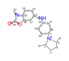 CC1CCC(C)N1c1ccc(Nc2ccc3c(c2)oc(=O)n3C)cc1